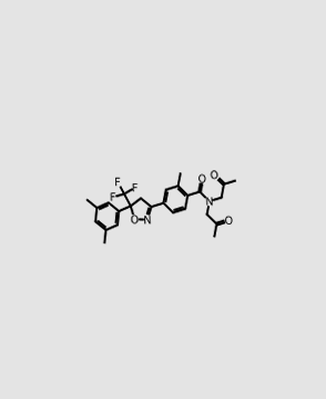 CC(=O)CN(CC(C)=O)C(=O)c1ccc(C2=NOC(c3cc(C)cc(C)c3)(C(F)(F)F)C2)cc1C